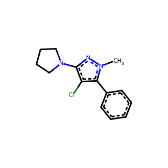 Cn1nc(N2CCCC2)c(Cl)c1-c1ccccc1